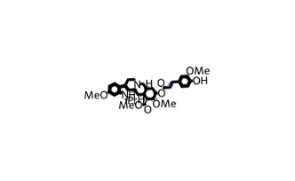 COC(=O)[C@H]1[C@H]2C[C@@H]3c4c(c5ccc(OC)cc5n4C(C)C)CCN3C[C@H]2C[C@@H](OC(=O)/C=C/c2ccc(O)c(OC)c2)[C@@H]1OC